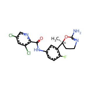 C[C@@]1(c2cc(NC(=O)c3ncc(Cl)cc3Cl)ccc2F)CCN=C(N)O1